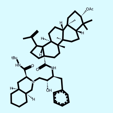 C=C(C)C1CC[C@]2(C(=O)N[C@@H](Cc3ccccc3)[C@H](O)CN3C[C@H]4CCCC[C@H]4C[C@H]3C(=O)NC(C)(C)C)CC[C@]3(C)[C@H](CC[C@@H]4[C@@]5(C)CC[C@H](OC(C)=O)C(C)(C)[C@@H]5CC[C@]43C)[C@@H]12